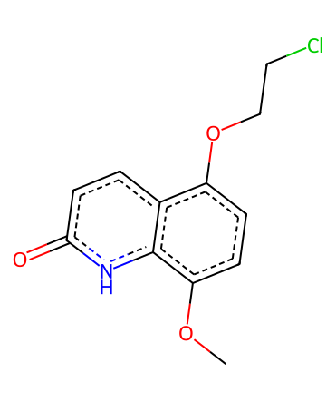 COc1ccc(OCCCl)c2ccc(=O)[nH]c12